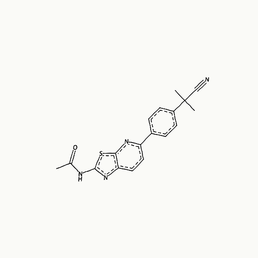 CC(=O)Nc1nc2ccc(-c3ccc(C(C)(C)C#N)cc3)nc2s1